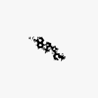 COc1nccc2c(-n3ncc(-c4nnc(-c5ccnc(C(F)(F)F)c5)[nH]4)c3C(F)(F)F)cccc12